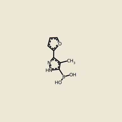 Cc1c(-c2ccco2)n[nH]c1B(O)O